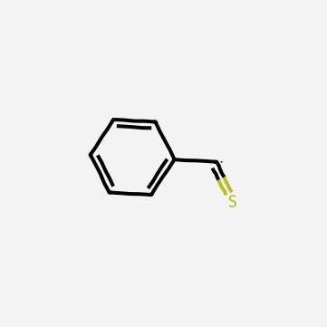 S=[C]c1ccccc1